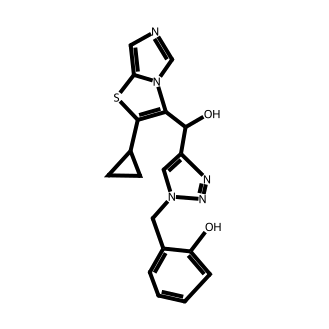 Oc1ccccc1Cn1cc(C(O)c2c(C3CC3)sc3cncn23)nn1